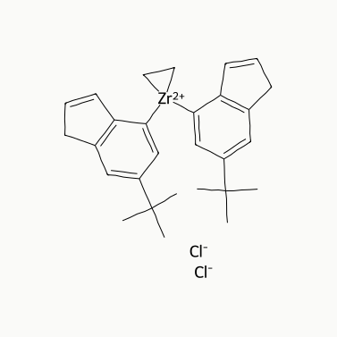 CC(C)(C)c1cc2c([c]([Zr+2]3([c]4cc(C(C)(C)C)cc5c4C=CC5)[CH2][CH2]3)c1)C=CC2.[Cl-].[Cl-]